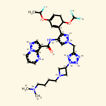 CC(F)OC1=CCC(OC(F)F)C(c2nn(Cc3nnn(C4CN(CCCCN(C)C)C4)n3)cc2NC(=O)c2cnn3cccnc23)=C1